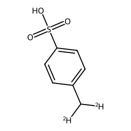 [2H]C([2H])c1ccc(S(=O)(=O)O)cc1